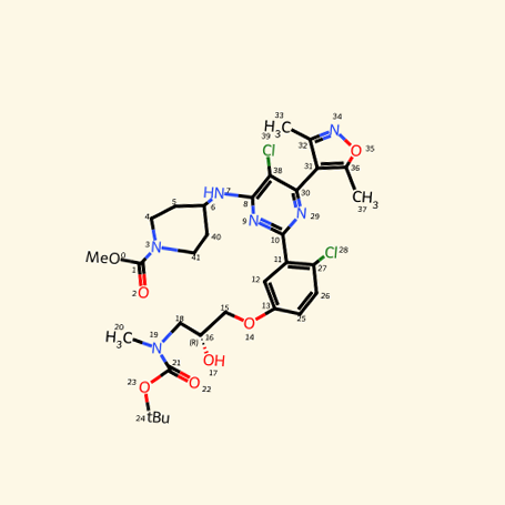 COC(=O)N1CCC(Nc2nc(-c3cc(OC[C@H](O)CN(C)C(=O)OC(C)(C)C)ccc3Cl)nc(-c3c(C)noc3C)c2Cl)CC1